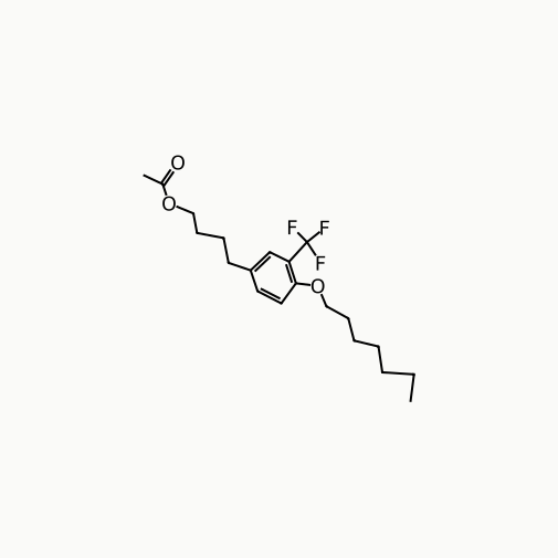 CCCCCCCOc1ccc(CCCCOC(C)=O)cc1C(F)(F)F